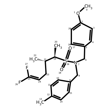 COc1ccc(CN(Cc2ccc(C)cc2)S(=O)(=O)[C@H](C)[C@@H](C)CC=C(F)F)cc1